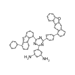 Nc1cc(N)cc(-c2nc(-c3ccc(-c4cccc5cc6oc7ccccc7c6cc45)cc3)nc(-c3cccc4sc5c(-c6ccccc6)cccc5c34)n2)c1